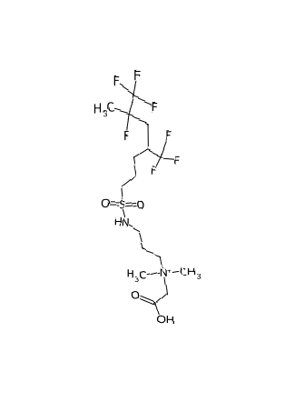 CC(F)(CC(CCCS(=O)(=O)NCCC[N+](C)(C)CC(=O)O)C(F)(F)F)C(F)(F)F